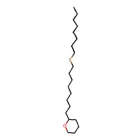 CCCCCCCCSCCCCCCCCC1CCCCO1